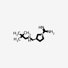 CC(C)(C)CNC[C@@H]1CCN(C(=N)N)C1